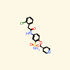 NS(=O)(=O)c1cc(NC(=O)Cc2ccccc2Cl)ccc1OCc1ccncc1